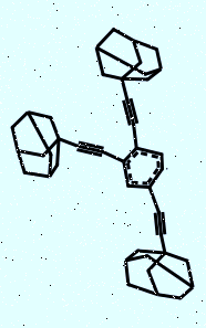 C(#CC12CC3CC(CC(C3)C1)C2)c1[c]cc(C#CC23CC4CC(CC(C4)C2)C3)c(C#CC23CC4CC(CC(C4)C2)C3)c1